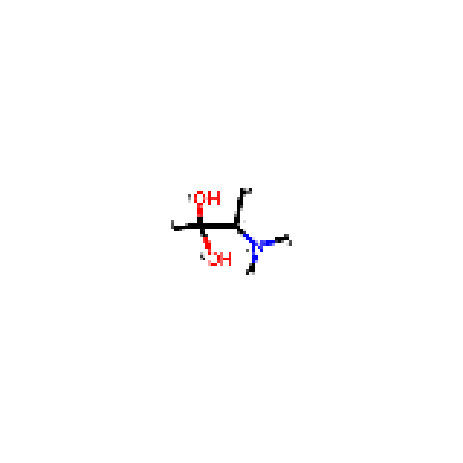 CC(N(C)C)C(C)(O)O